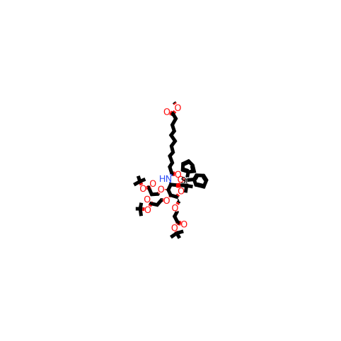 COC(=O)CCCCCCCCCCC(=O)N[C@H]1[C@H](O[Si](c2ccccc2)(c2ccccc2)C(C)(C)C)O[C@H](COCCC(=O)OC(C)(C)C)[C@@H](OCCC(=O)OC(C)(C)C)[C@@H]1OCCC(=O)OC(C)(C)C